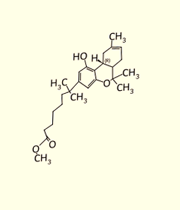 COC(=O)CCCCCC(C)(C)c1cc(O)c2c(c1)OC(C)(C)C1CC=C(C)C[C@@H]21